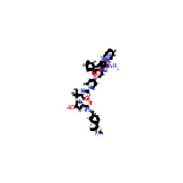 Cc1ncsc1-c1ccc(CNC(=O)C2C[C@@H](O)CN2C(=O)[C@@H](NC(=O)N2CCC(N3CCC(c4cnc(N5C6CCC5CN(c5cc(-c7ccccc7O)nnc5N)C6)nc4)CC3)CC2)C(C)(C)C)cc1